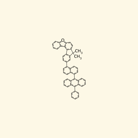 CC1(C)c2cc(-c3cccc4c(-c5c6ccccc6c(-c6ccccc6)c6ccccc56)cccc34)ccc2-c2c1ccc1oc3ccccc3c21